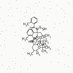 Cc1ccccc1C(=O)N(SS)C(CC(C)C)(C(=O)OC(C)(C)C)c1cccc(C)c1C(=O)NC(CC(C)C)C(=O)OC(C)(C)C